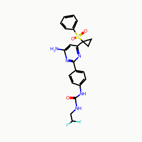 Nc1cc(C2(S(=O)(=O)c3ccccc3)CC2)nc(-c2ccc(NC(=O)NCC(F)F)cc2)n1